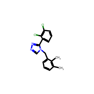 Cc1cccc(Cn2cnnc2-c2cccc(Cl)c2Cl)c1C